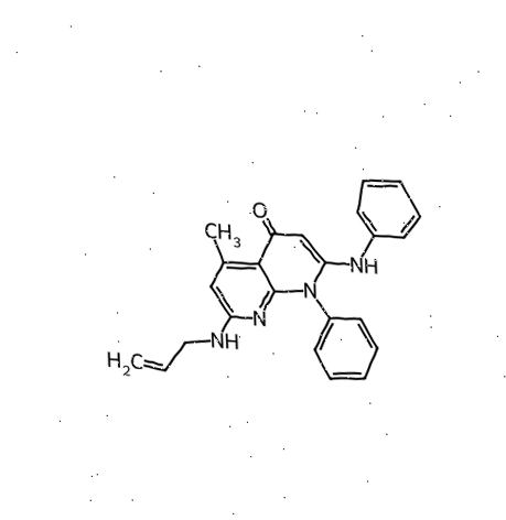 C=CCNc1cc(C)c2c(=O)cc(Nc3ccccc3)n(-c3ccccc3)c2n1